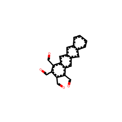 O=Cc1c(C=O)c(C=O)c2cc3cc4ccccc4cc3cc2c1C=O